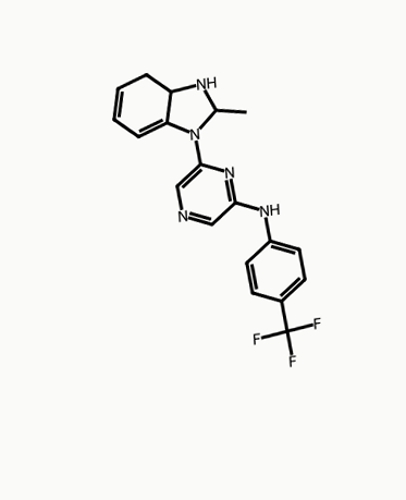 CC1NC2CC=CC=C2N1c1cncc(Nc2ccc(C(F)(F)F)cc2)n1